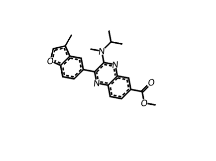 COC(=O)c1ccc2nc(-c3ccc4occ(C)c4c3)c(N(C)C(C)C)nc2c1